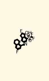 N#Cc1cc(F)cc2c1[C@@H](c1ccc(S(=O)(=O)C(F)F)c3c1C[C@@H](F)[C@H]3O)CCC2